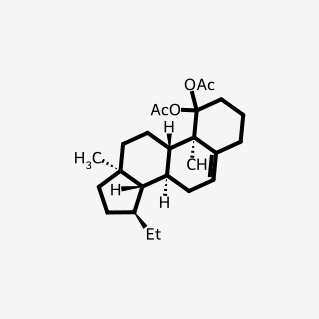 CC[C@H]1CC[C@@]2(C)CC[C@H]3[C@@H](CC=C4CCCC(OC(C)=O)(OC(C)=O)[C@@]43C)[C@H]12